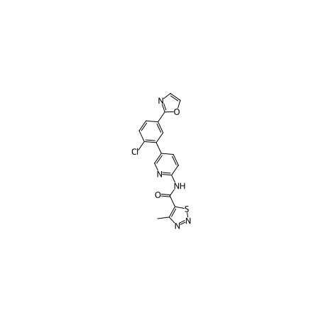 Cc1nnsc1C(=O)Nc1ccc(-c2cc(-c3ncco3)ccc2Cl)cn1